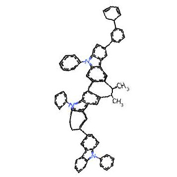 CC1c2cc3c4c(n(-c5ccccc5)c3cc2-c2cc3c(cc2C1C)c1cc(-c2cccc(C5C=CC=CC5)c2)ccc1n3-c1ccccc1)CCC(c1ccc2c(c1)c1ccccc1n2-c1ccccc1)=C4